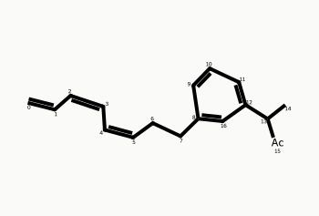 C=C/C=C\C=C/CCc1cccc(C(C)C(C)=O)c1